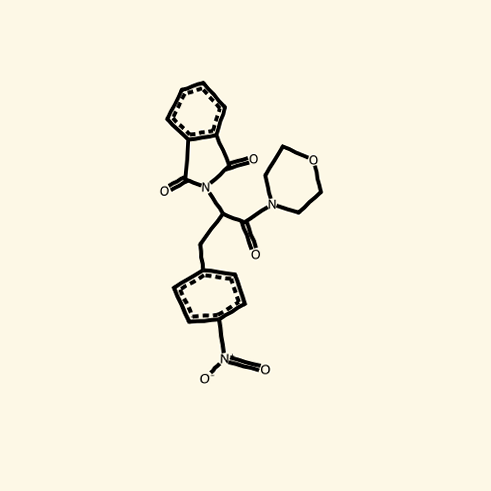 O=C(C(Cc1ccc([N+](=O)[O-])cc1)N1C(=O)c2ccccc2C1=O)N1CCOCC1